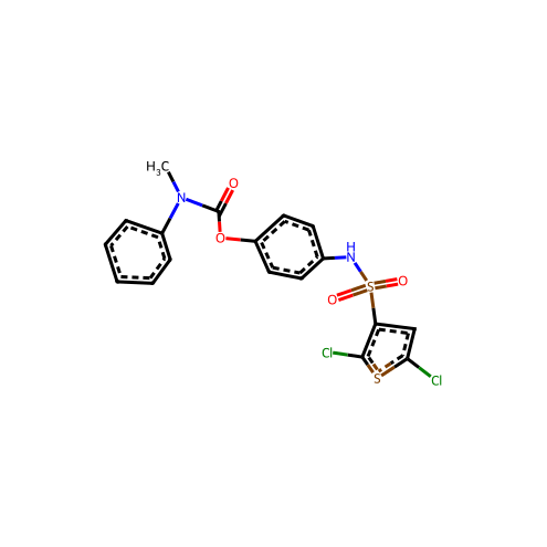 CN(C(=O)Oc1ccc(NS(=O)(=O)c2cc(Cl)sc2Cl)cc1)c1ccccc1